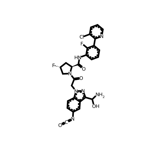 NC(O)c1nn(CC(=O)N2C[C@H](F)C[C@H]2C(=O)Nc2cccc(-c3ncccc3Cl)c2F)c2ccc(N=C=O)cc12